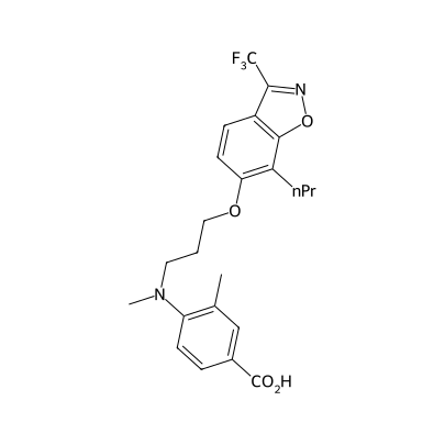 CCCc1c(OCCCN(C)c2ccc(C(=O)O)cc2C)ccc2c(C(F)(F)F)noc12